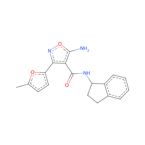 Cc1ccc(-c2noc(N)c2C(=O)NC2CCc3ccccc32)o1